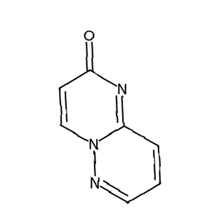 O=c1ccn2ncccc2n1